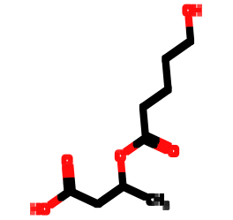 CC(CC(=O)O)OC(=O)CCCCO